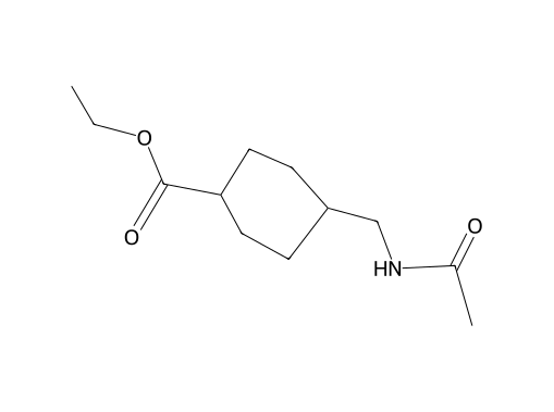 CCOC(=O)C1CCC(CNC(C)=O)CC1